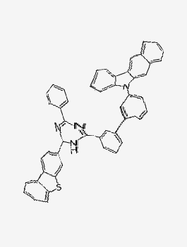 c1ccc(C2=NC(c3ccc4c(c3)sc3ccccc34)NC(c3cccc(-c4cccc(-n5c6ccccc6c6cc7ccccc7cc65)c4)c3)=N2)cc1